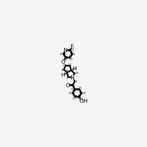 O=C(CN1C[C@H]2C[C@H](Oc3ccc(F)nc3)C[C@H]2C1)c1ccc(O)cc1